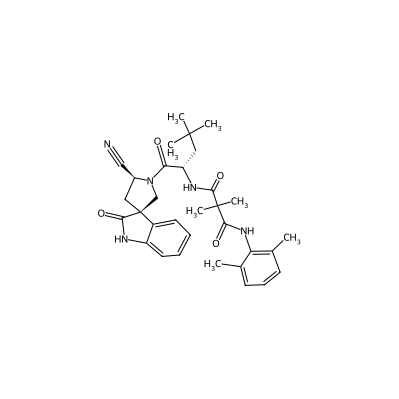 Cc1cccc(C)c1NC(=O)C(C)(C)C(=O)N[C@@H](CC(C)(C)C)C(=O)N1C[C@]2(C[C@H]1C#N)C(=O)Nc1ccccc12